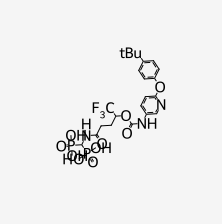 CC(C)(C)c1ccc(Oc2ccc(NC(=O)OC(CCC(=O)NC(P(=O)(O)O)P(=O)(O)O)C(F)(F)F)cn2)cc1